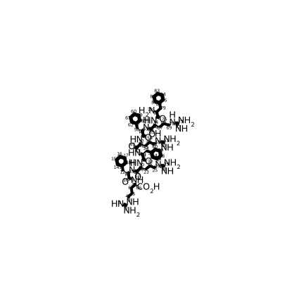 N=C(N)NCCC[C@H](NC(=O)[C@H](Cc1ccccc1)NC(=O)[C@H](CCCNC(=N)N)NC(=O)[C@H](Cc1ccccc1)NC(=O)[C@H](CCCNC(=N)N)NC(=O)[C@H](Cc1ccccc1)NC(=O)[C@H](CCCNC(=N)N)NC(=O)[C@@H](N)Cc1ccccc1)C(=O)O